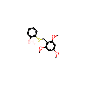 Bc1ccccc1SCc1c(OC)cc(OC)cc1OC